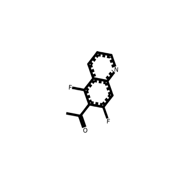 CC(=O)c1c(F)cc2ncccc2c1F